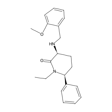 CCN1C(=O)[C@@H](NCc2ccccc2OC)CC[C@H]1c1ccccc1